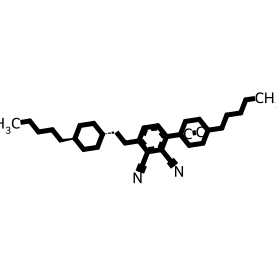 CCCCCC12CCC(c3ccc(CC[C@H]4CC[C@H](CCCCC)CC4)c(C#N)c3C#N)(CC1)CC2